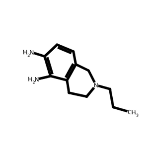 CCCN1CCc2c(ccc(N)c2N)C1